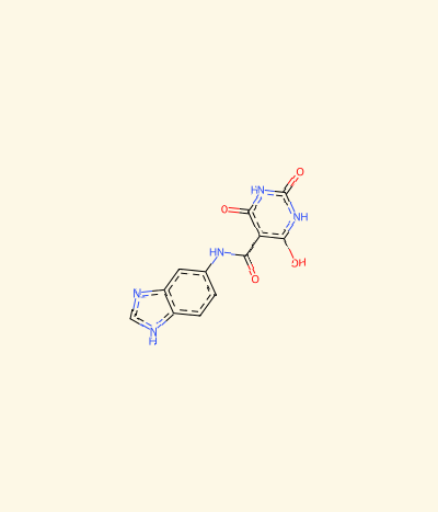 O=C(Nc1ccc2[nH]cnc2c1)c1c(O)[nH]c(=O)[nH]c1=O